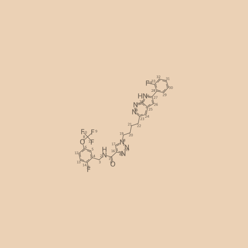 O=C(NCc1cc(OC(F)(F)F)ccc1F)c1cn(CCCCc2cc3cc(-c4ccccc4F)[nH]c3nn2)nn1